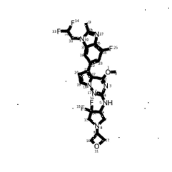 COc1nc(NC2CN(C3COC3)CC2(F)F)nn2ccc(-c3cc(F)c4nc(C)n(CC(F)F)c4c3)c12